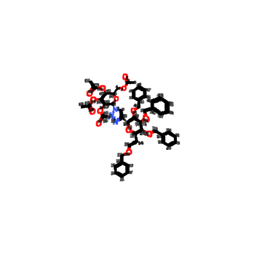 CC(=O)OC[C@H]1O[C@H](n2cc([C@H]3O[C@H](CCOCc4ccccc4)[C@@H](OCc4ccccc4)[C@H](OCc4ccccc4)[C@@H]3OCc3ccccc3)nn2)[C@@H](OC(C)=O)[C@@H](OC(C)=O)[C@@H]1OC(C)=O